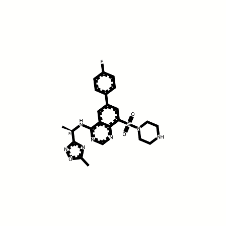 Cc1nc([C@@H](C)Nc2ncnc3c(S(=O)(=O)N4CCNCC4)cc(-c4ccc(F)cc4)cc23)no1